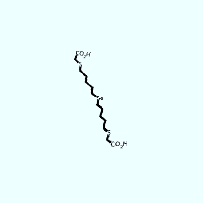 O=C(O)CSCCCCC[Se]CCCCCSCC(=O)O